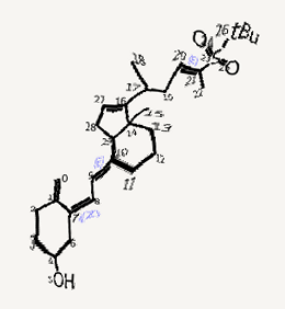 C=C1CCC(O)C/C1=C/C=C1\CCCC2(C)C(C(C)C/C=C(\C)S(=O)(=O)C(C)(C)C)=CCC12